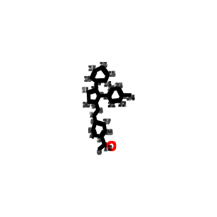 CC(=O)c1ccc(CCC2=CC=C(c3ccccc3)C2c2ccc(C)cc2)cc1